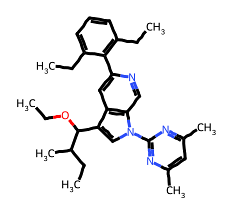 CCOC(c1cn(-c2nc(C)cc(C)n2)c2cnc(-c3c(CC)cccc3CC)cc12)C(C)CC